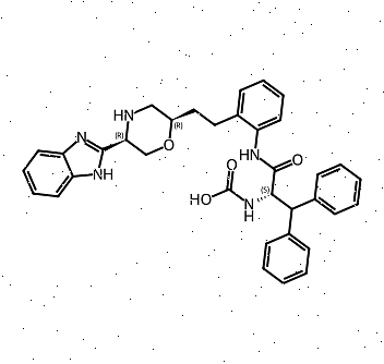 O=C(O)N[C@H](C(=O)Nc1ccccc1CC[C@@H]1CN[C@H](c2nc3ccccc3[nH]2)CO1)C(c1ccccc1)c1ccccc1